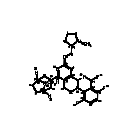 CN1CCC[C@H]1COc1nc2c(c(N3C[C@H]4CC[C@@H](C3)N4C(=O)O)n1)CCN(c1c(F)ccc(F)c1C(F)F)C2